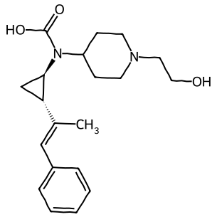 C/C(=C\c1ccccc1)[C@@H]1C[C@H]1N(C(=O)O)C1CCN(CCO)CC1